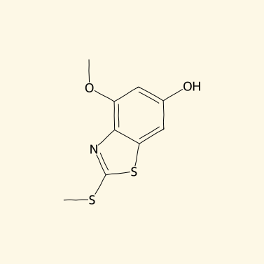 COc1cc(O)cc2sc(SC)nc12